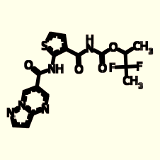 CC(OC(=O)NC(=O)c1ccsc1NC(=O)c1cnc2ccnn2c1)C(C)(F)F